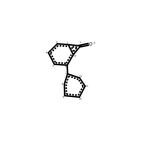 O=c1c2cccc(-c3ccccc3)c12